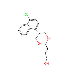 OCCC[C@H]1OC[C@H](c2ccc(Cl)c3ccccc32)CO1